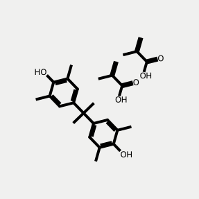 C=C(C)C(=O)O.C=C(C)C(=O)O.Cc1cc(C(C)(C)c2cc(C)c(O)c(C)c2)cc(C)c1O